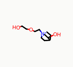 OCCOCC[N+]12CCC(CC1)C(O)C2